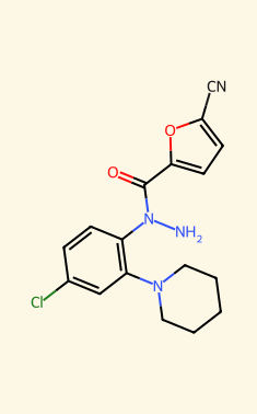 N#Cc1ccc(C(=O)N(N)c2ccc(Cl)cc2N2CCCCC2)o1